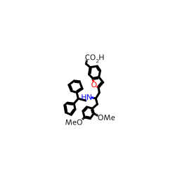 COc1ccc(CC(Cc2cc3ccc(CC(=O)O)cc3o2)NCC(c2ccccc2)c2ccccc2)c(OC)c1